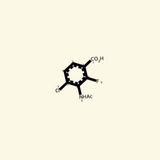 CC(=O)Nc1c(Cl)ccc(C(=O)O)c1F